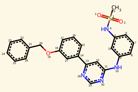 CS(=O)(=O)Nc1cccc(Nc2cc(-c3cccc(OCc4ccccc4)c3)ncn2)c1